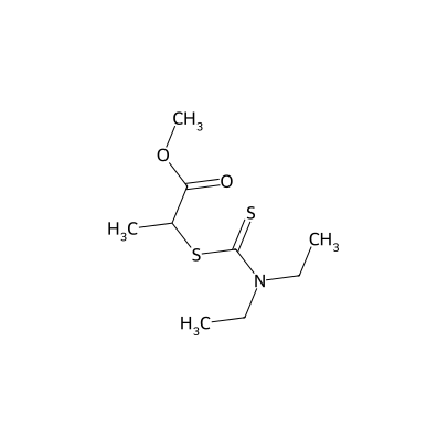 CCN(CC)C(=S)SC(C)C(=O)OC